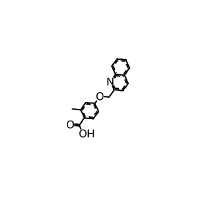 Cc1cc(OCc2ccc3ccccc3n2)ccc1C(=O)O